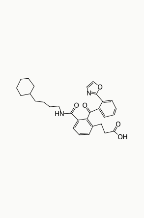 O=C(O)CCc1cccc(C(=O)NCCCCC2CCCCC2)c1C(=O)c1ccccc1-c1ncco1